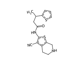 CC(CC(=O)Nc1sc2c(c1C#N)CCNC2)c1cccs1